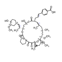 CO[C@H]1C[C@@H](C)C/C(C)=C/C(C/C=C/c2ccc(C(=O)O)cc2)C(=O)C[C@H](O)C[C@@H](/C(C)=C/[C@@H]2CC[C@@H](O)[C@H](OC)C2)OC(=O)[C@@H]2CCCCN2C(=O)C(=O)[C@]2(O)O[C@H]1[C@@H](OC)C[C@H]2C